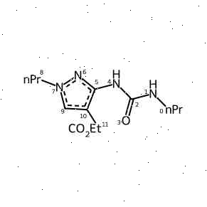 CCCNC(=O)Nc1nn(CCC)cc1C(=O)OCC